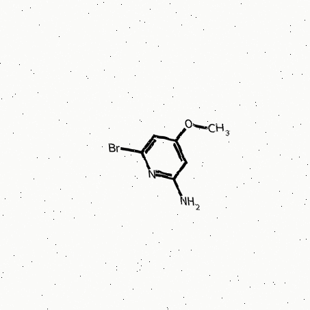 COc1cc(N)nc(Br)c1